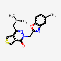 CB(C)Cc1nn(Cc2nc3cc(C)ccc3o2)c(=O)c2cscc12